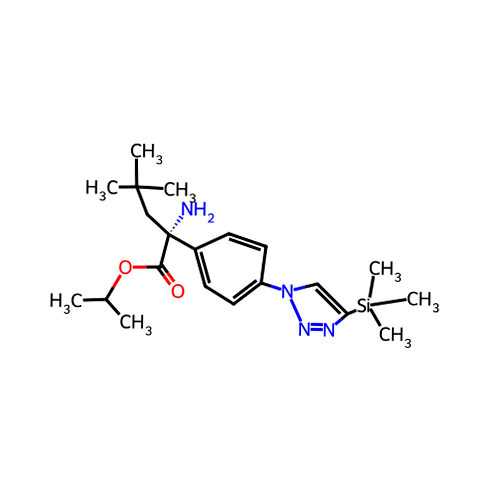 CC(C)OC(=O)[C@@](N)(CC(C)(C)C)c1ccc(-n2cc([Si](C)(C)C)nn2)cc1